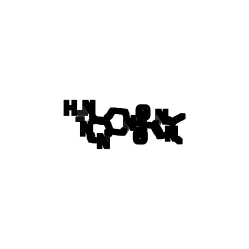 Cc1nc(S(=O)(=O)N2CCc3c(N)ncnc3C2)cn1C